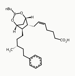 CCCCB1O[C@H]2C[C@@H](O1)[C@H](CC[C@@H](C)CCc1ccccc1)[C@H]2C/C=C\CCCC(=O)O